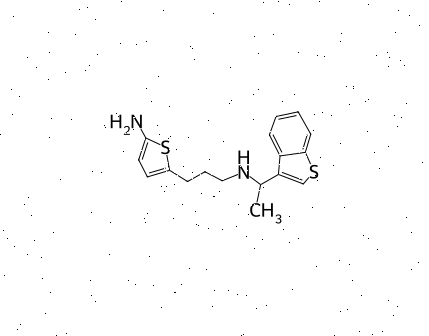 CC(NCCCc1ccc(N)s1)c1csc2ccccc12